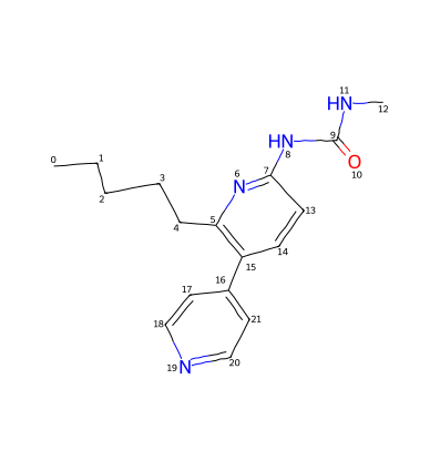 CCCCCc1nc(NC(=O)NC)ccc1-c1ccncc1